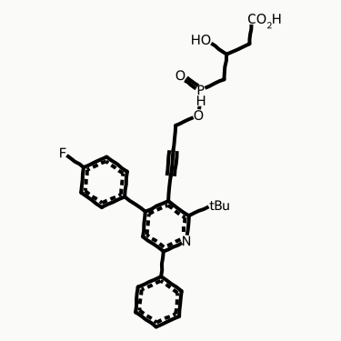 CC(C)(C)c1nc(-c2ccccc2)cc(-c2ccc(F)cc2)c1C#CCO[PH](=O)CC(O)CC(=O)O